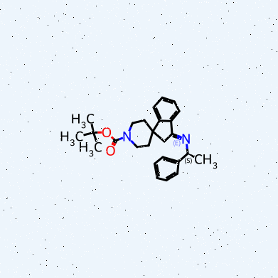 C[C@H](/N=C1\CC2(CCN(C(=O)OC(C)(C)C)CC2)c2ccccc21)c1ccccc1